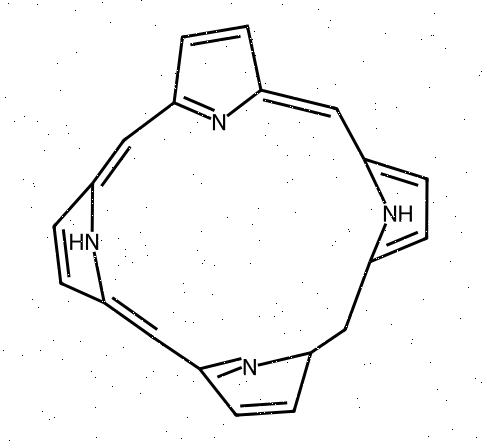 C1=CC2=NC1=Cc1ccc([nH]1)CC1C=CC(=N1)C=c1ccc([nH]1)=C2